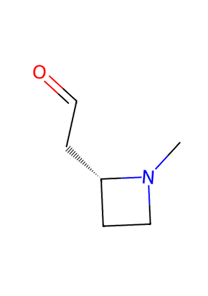 CN1CC[C@@H]1CC=O